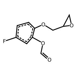 O=COc1cc(F)ccc1OCC1CO1